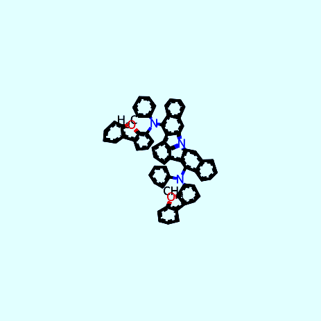 Cc1ccccc1N(c1cccc2c1oc1ccccc12)c1c2ccccc2cc2c1c1cccc3c4c(N(c5ccccc5C)c5cccc6c5oc5ccccc56)c5ccccc5cc4n2c13